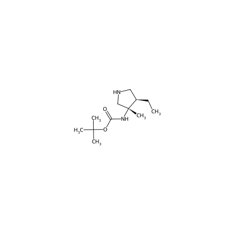 CC[C@@H]1CNC[C@@]1(C)NC(=O)OC(C)(C)C